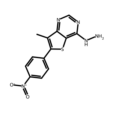 Cc1c(-c2ccc([N+](=O)[O-])cc2)sc2c(NN)ncnc12